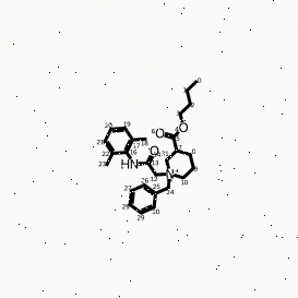 CCCCOC(=O)C1CCC[N+](CC(=O)Nc2c(C)cccc2C)(Cc2ccccc2)C1